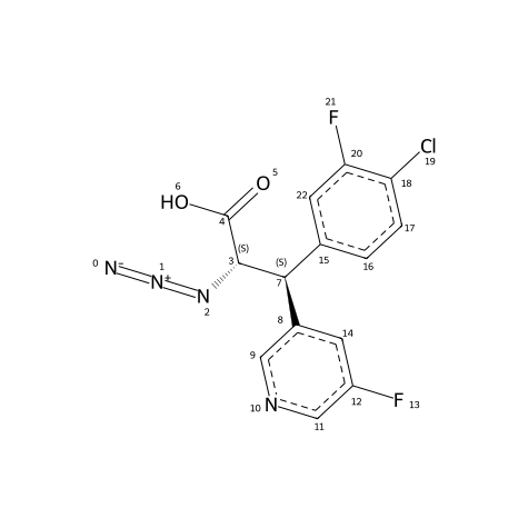 [N-]=[N+]=N[C@H](C(=O)O)[C@H](c1cncc(F)c1)c1ccc(Cl)c(F)c1